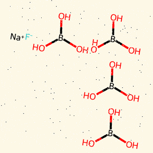 OB(O)O.OB(O)O.OB(O)O.OB(O)O.[F-].[Na+]